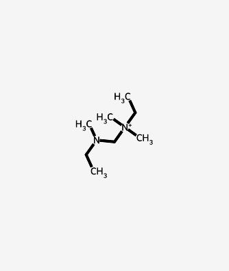 CCN(C)C[N+](C)(C)CC